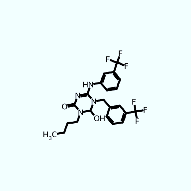 CCCCN1C(=O)N=C(Nc2cccc(C(F)(F)F)c2)N(Cc2cccc(C(F)(F)F)c2)C1O